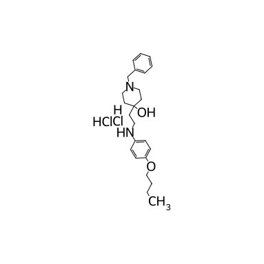 CCCCOc1ccc(NCCC2(O)CCN(Cc3ccccc3)CC2)cc1.Cl.Cl